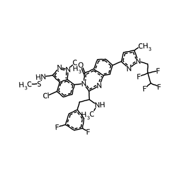 CNC(Cc1cc(F)cc(F)c1)c1nc2cc(-c3cc(C)n(CC(F)(F)C(F)F)n3)ccc2c(=O)n1-c1ccc(Cl)c2c(NSC)nn(C)c12